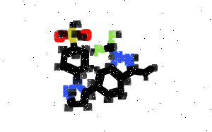 CCc1nn(C(F)F)c2cc(-c3ccnn3-c3ccc(S(C)(=O)=O)cc3)ccc12